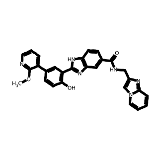 COc1ncccc1-c1ccc(O)c(-c2nc3cc(C(=O)NCc4cn5ccccc5n4)ccc3[nH]2)c1